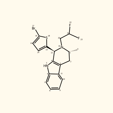 C[C@@H]1Cc2c([nH]c3ccccc23)[C@@H](c2ccc(Br)s2)N1CC(F)F